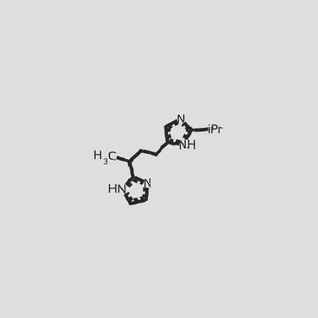 CC(C)c1ncc(CCC(C)c2ncc[nH]2)[nH]1